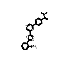 C=C(c1ccc(-c2cncc(-c3nnc(-c4ccccc4N)o3)n2)cc1)N(C)C